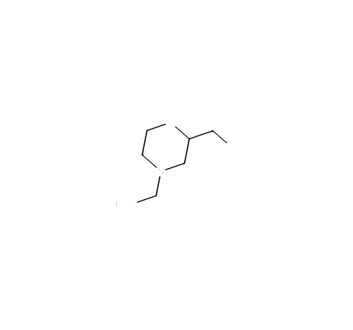 O=C(O)CN1CCOC(CO)C1